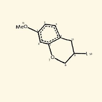 COc1ccc2c(c1)OCC(I)C2